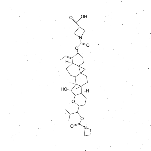 C/C=C1/C(OC(=O)N2CC(C(=O)O)C2)CCC23CC24CCC2(C)[C@H]5CCC(C(OC(=O)N6CCC6)C(C)C)OC5[C@H](O)[C@@]2(C)C4CC[C@@H]13